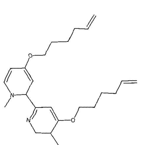 C=CCCCCOC1=CC(C2=NCC(C)C(OCCCCC=C)=C2)N(C)C=C1